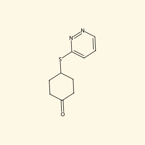 O=C1CCC(Sc2cccnn2)CC1